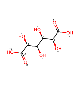 O=C(O)[C@@H](O)[C@H](O)[C@@H](O)[C@H](O)C(=O)O